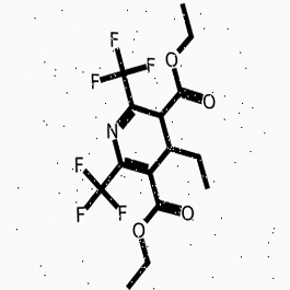 CCOC(=O)C1=C(C(F)(F)F)N=C(C(F)(F)F)C(C(=O)OCC)C1CC